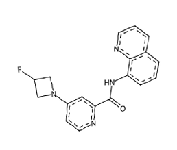 O=C(Nc1cccc2cccnc12)c1cc(N2CC(F)C2)ccn1